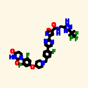 CC(C)(c1n[nH]c(CNC(=O)c2cc(-c3ncc(-c4ccc(CN5CCC(Oc6cc(F)c(N7CCC(=O)NC7=O)c(F)c6)CC5)cc4F)cn3)no2)n1)C(F)(F)F